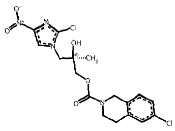 C[C@](O)(COC(=O)N1CCc2cc(Cl)ccc2C1)Cn1cc([N+](=O)[O-])nc1Cl